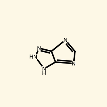 c1nc2n[nH][nH]c-2n1